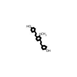 COc1cc(C=Cc2ccc(O)cc2)ccc1C=Cc1ccc(O)cc1